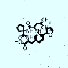 CC(C)CC(S)C(=O)NC1(C(=O)NC(Cc2ccc(-c3ccco3)nc2)C(=O)O)CCCC1